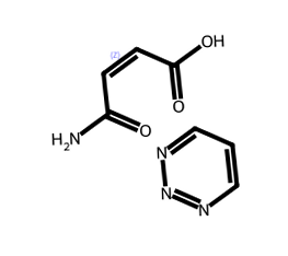 NC(=O)/C=C\C(=O)O.c1cnnnc1